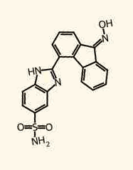 NS(=O)(=O)c1ccc2[nH]c(-c3cccc4c3-c3ccccc3/C4=N/O)nc2c1